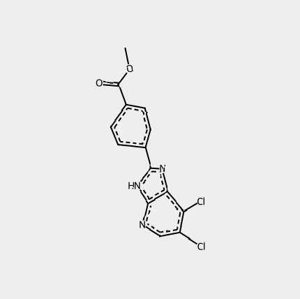 COC(=O)c1ccc(-c2nc3c(Cl)c(Cl)cnc3[nH]2)cc1